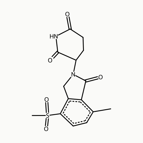 Cc1ccc(S(C)(=O)=O)c2c1C(=O)N(C1CCC(=O)NC1=O)C2